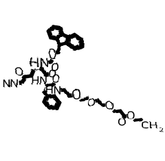 C=CCOC(=O)CCOCCOCCOCCNC(=O)[C@H](Cc1ccccc1)NC(=O)[C@H](CCC(=O)C=[N+]=[N-])NC(=O)OCC1c2ccccc2-c2ccccc21